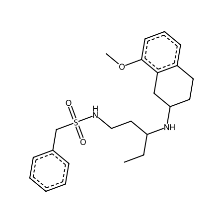 CCC(CCNS(=O)(=O)Cc1ccccc1)NC1CCc2cccc(OC)c2C1